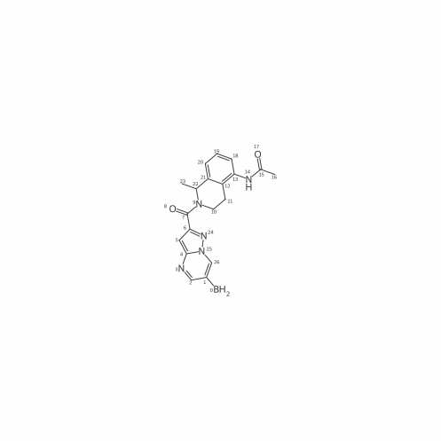 Bc1cnc2cc(C(=O)N3CCc4c(NC(C)=O)cccc4C3C)nn2c1